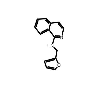 c1coc(CNc2nccc3ccccc23)c1